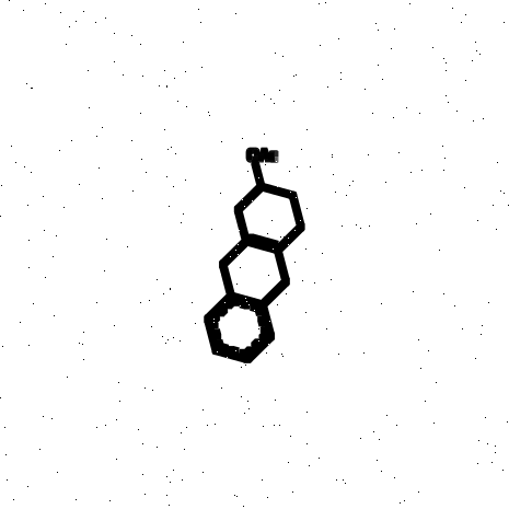 CC(=O)OC1CCC2=C(Cc3ccccc3C2)C1